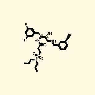 C#Cc1cccc(CNC[C@@H](O)[C@H](Cc2cc(F)cc(F)c2)NC(=O)CCS(=O)(=O)N(CCC)CCC)c1